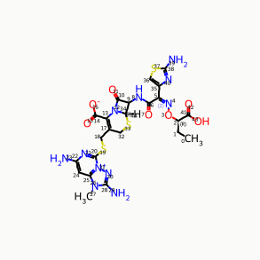 CC[C@@H](O/N=C(\C(=O)NC1C(=O)N2C(C(=O)[O-])=C(CSc3nc(N)cc4n(C)c(N)n[n+]34)CS[C@@H]12)c1csc(N)n1)C(=O)O